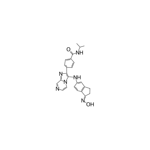 CC(C)NC(=O)c1ccc(-c2nc3cnccn3c2Nc2ccc3c(c2)CCC3=NO)cc1